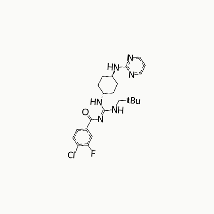 CC(C)(C)CN/C(=N/C(=O)c1ccc(Cl)c(F)c1)N[C@H]1CC[C@H](Nc2ncccn2)CC1